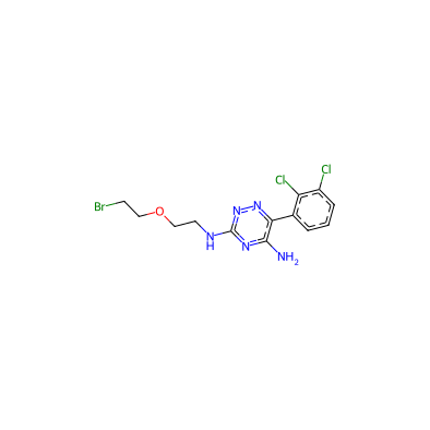 Nc1nc(NCCOCCBr)nnc1-c1cccc(Cl)c1Cl